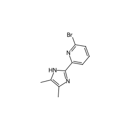 Cc1nc(-c2cccc(Br)n2)[nH]c1C